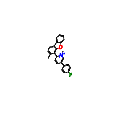 Cc1ccc2c(oc3ccccc32)c1-c1ccc(-c2ccc(F)cc2)c[n+]1C